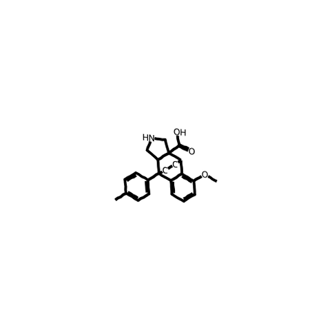 COc1cccc2c1C1CCC2(c2ccc(C)cc2)C2CNCC12C(=O)O